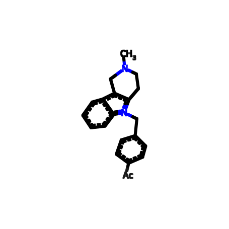 CC(=O)c1ccc(Cn2c3c(c4ccccc42)CN(C)CC3)cc1